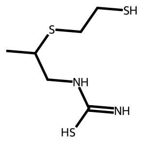 CC(CNC(=N)S)SCCS